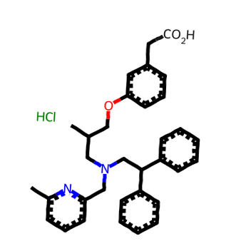 Cc1cccc(CN(CC(C)COc2cccc(CC(=O)O)c2)CC(c2ccccc2)c2ccccc2)n1.Cl